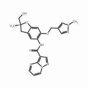 Cn1cc(COc2cc3c(cc2NC(=O)c2cnn4cccnc24)C[C@](C)(CO)O3)cn1